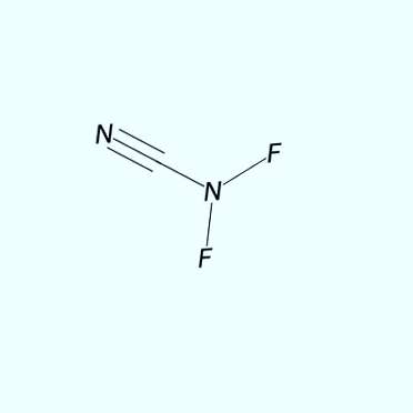 N#CN(F)F